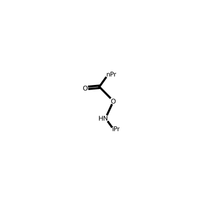 CCCC(=O)ONC(C)C